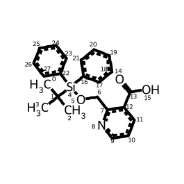 CC(C)(C)[Si](OCc1ncccc1C(=O)O)(c1ccccc1)c1ccccc1